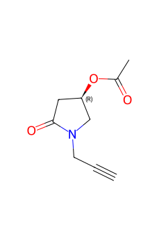 C#CCN1C[C@H](OC(C)=O)CC1=O